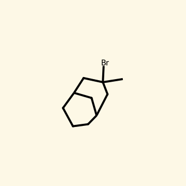 CC1(Br)CC2CCCC(C2)C1